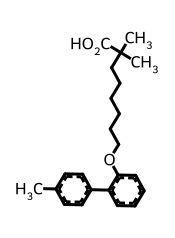 Cc1ccc(-c2ccccc2OCCCCCCC(C)(C)C(=O)O)cc1